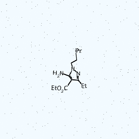 CCOC(=O)c1c(CC)nn(CCC(C)C)c1N